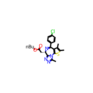 CCCCOC(=O)C[C@@H]1N=C(c2ccc(Cl)cc2)c2c(sc(C)c2C)-n2c(C)nnc21